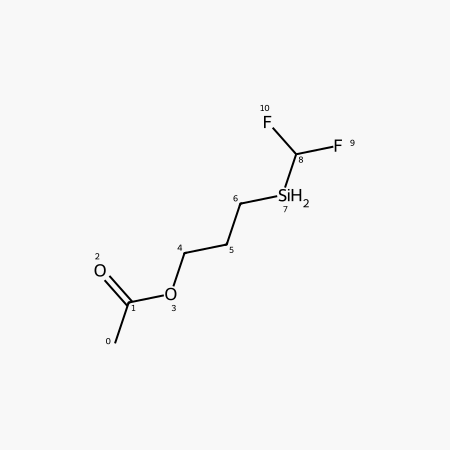 CC(=O)OCCC[SiH2]C(F)F